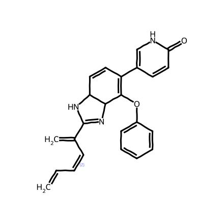 C=C/C=C\C(=C)C1=NC2C(Oc3ccccc3)=C(c3ccc(=O)[nH]c3)C=CC2N1